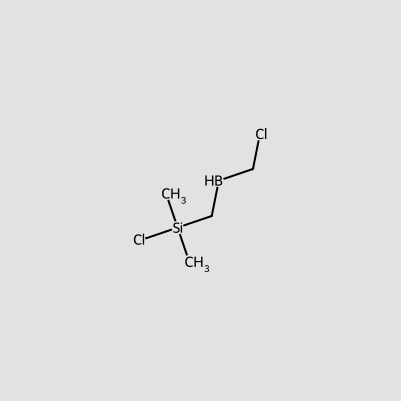 C[Si](C)(Cl)CBCCl